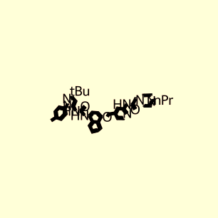 CCCN1CCN(CC(=O)Nc2cc(COc3ccc(NC(=O)Nc4cc(C(C)(C)C)nn4-c4ccc(C)cc4)c4ccccc34)ccn2)CC1